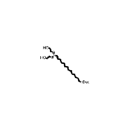 CCCCCCCCCCCCCCCCCCCCCCC=CN(OCCO)OCCO